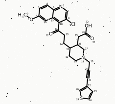 COc1ccc2ncc(Cl)c(C(=O)CCC3CCN(CC#Cc4ccsc4)CC3CC(=O)O)c2c1